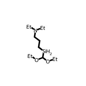 CCOC(OCC)[SiH2]CCCN(CC)CC